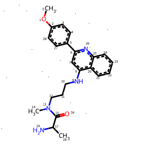 COc1ccc(-c2cc(NCCCN(C)C(=O)C(C)N)c3ccccc3n2)cc1